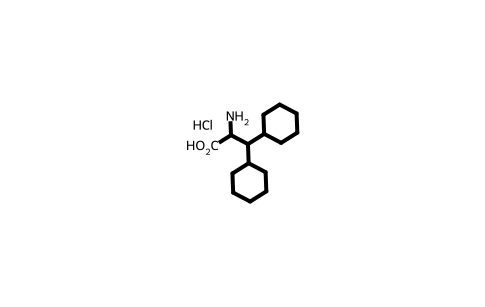 Cl.NC(C(=O)O)C(C1CCCCC1)C1CCCCC1